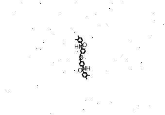 Cc1ccc(C(=O)Nc2ccc(COCc3cccc(NC(=O)c4ccc(C)c(C)c4)c3)cc2)cc1C